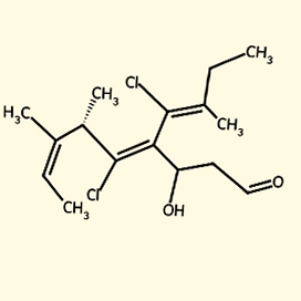 C/C=C(/C)[C@H](C)/C(Cl)=C(\C(Cl)=C(/C)CC)C(O)CC=O